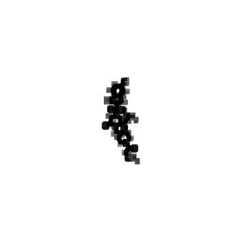 CCC(=O)N1CCC2(CC1)CN1C(=O)CN(S(=O)(=O)c3cc4cc(Cl)ccc4[nH]3)CC1(CN)O2